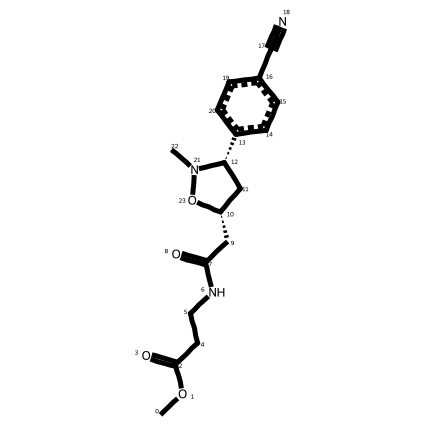 COC(=O)CCNC(=O)C[C@H]1C[C@@H](c2ccc(C#N)cc2)N(C)O1